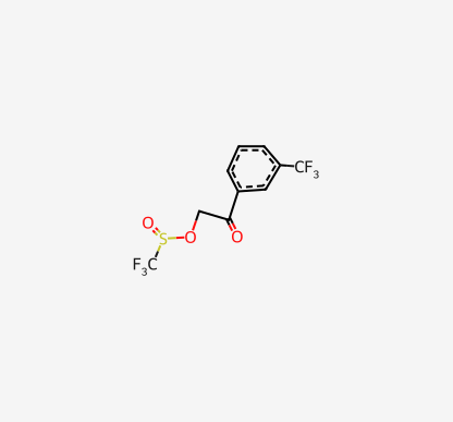 O=C(COS(=O)C(F)(F)F)c1cccc(C(F)(F)F)c1